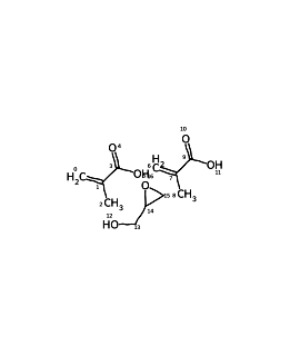 C=C(C)C(=O)O.C=C(C)C(=O)O.OCC1CO1